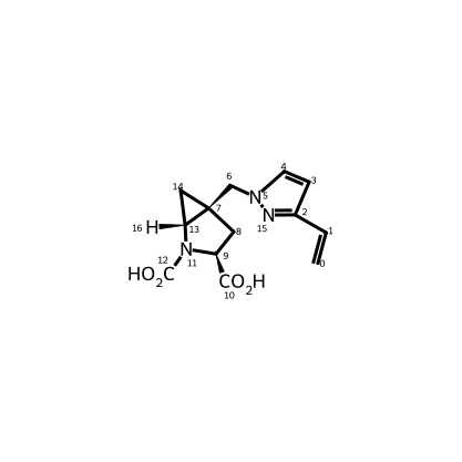 C=Cc1ccn(C[C@@]23C[C@@H](C(=O)O)N(C(=O)O)[C@@H]2C3)n1